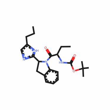 CCCc1cnc(C2Cc3ccccc3N2C(=O)C(CC)NC(=O)OC(C)(C)C)[nH]1